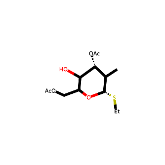 CCS[C@@H]1OC(COC(C)=O)C(O)[C@H](OC(C)=O)C1C